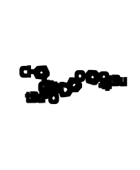 CC(C)(C)OC(=O)N(C[C@H](O)c1cccc(Cl)c1)[C@H]1CCc2ccc(Oc3ccc(O[Si](C)(C)C(C)(C)C)cc3)cc2C1